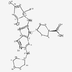 O=C(O)[C@H]1CC[C@H](n2c(Nc3c(F)cc(Cl)cc3Cl)nc3cnc(NC4CCOCC4)nc32)CC1